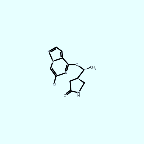 C[C@@H](Oc1nc(Cl)cn2nccc12)[C@H]1CNC(=O)C1